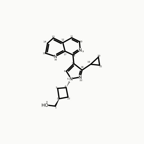 OC[C@H]1C[C@H](n2cc(-c3nccc4cccnc34)c(C3CC3)n2)C1